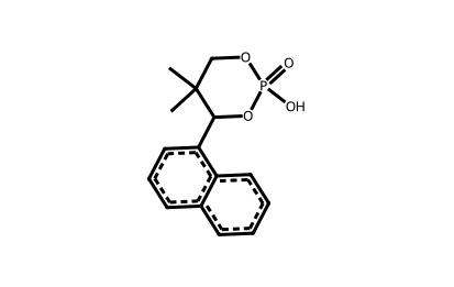 CC1(C)COP(=O)(O)OC1c1cccc2ccccc12